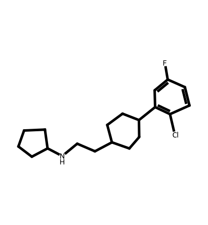 Fc1ccc(Cl)c(C2CCC(CCNC3CCCC3)CC2)c1